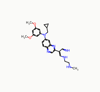 CNCCN/C=C(\C=N)c1cnc2ccc(N(CC3CC3)c3cc(OC)cc(OC)c3)cc2n1